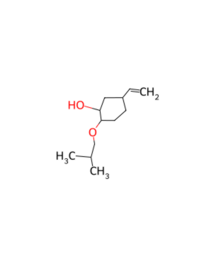 C=CC1CCC(OCC(C)C)C(O)C1